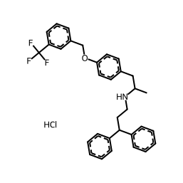 CC(Cc1ccc(OCc2cccc(C(F)(F)F)c2)cc1)NCCC(c1ccccc1)c1ccccc1.Cl